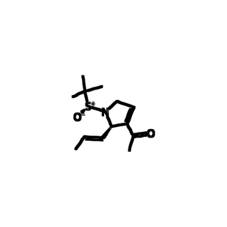 C/C=C/[C@@H]1C(C(C)=O)=CCN1[S@@+]([O-])C(C)(C)C